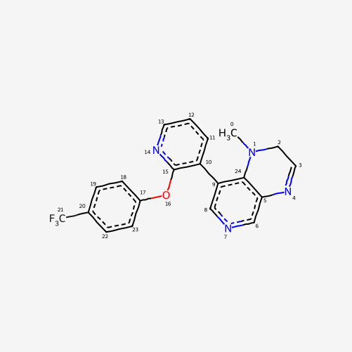 CN1CC=Nc2cncc(-c3cccnc3Oc3ccc(C(F)(F)F)cc3)c21